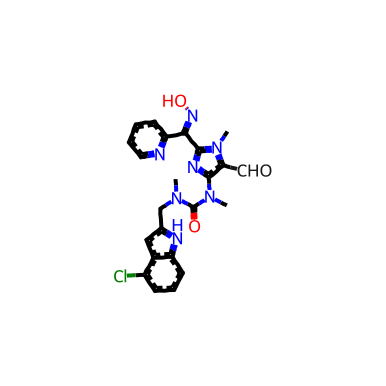 CN(Cc1cc2c(Cl)cccc2[nH]1)C(=O)N(C)c1nc(/C(=N/O)c2ccccn2)n(C)c1C=O